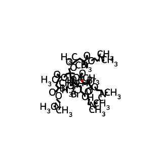 CN(C)CCOC(=O)C(Br)CC(C)(C)C(=O)OCC(COC(=O)C(C)(C)CC(Br)C(=O)OCCN(C)C)(COC(=O)C(C)(C)CC(Br)C(=O)OCCN(C)C)COC(=O)C(C)(C)CC(Br)C(=O)OCCN(C)C